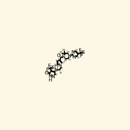 C[C@@H](Cn1ccc(C(=O)N2CCN(c3ncc(C(F)(F)F)cn3)CC2(C)C)c1)Nc1cn[nH]c(=O)c1C(F)(F)F